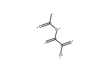 C=C(Cl)C(=C)OC(C)=O